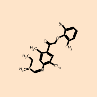 CCN(C)/C=N\c1cc(C)c(C(=O)COc2c(C)cccc2Br)cc1C